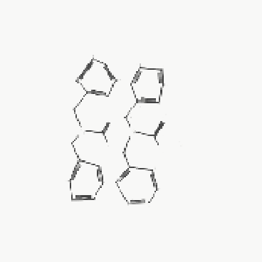 O=C([S-])N(Cc1ccccc1)Cc1ccccc1.O=C([S-])N(Cc1ccccc1)Cc1ccccc1.[Zn+2]